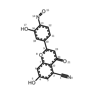 N#Cc1cc(O)cc2oc(-c3ccc(N=O)c(O)c3)cc(=O)c12